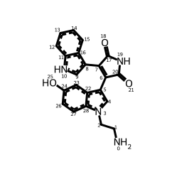 NCCn1cc(C2=C(c3c[nH]c4ccccc34)C(=O)NC2=O)c2cc(O)ccc21